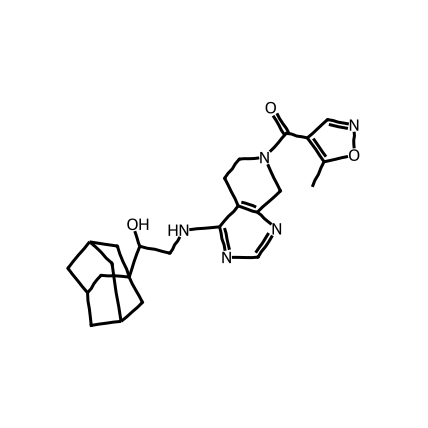 Cc1oncc1C(=O)N1CCc2c(ncnc2NCC(O)C23CC4CC(CC(C4)C2)C3)C1